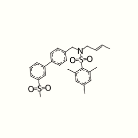 C/C=C/CN(Cc1ccc(-c2cccc(S(C)(=O)=O)c2)cc1)S(=O)(=O)c1c(C)cc(C)cc1C